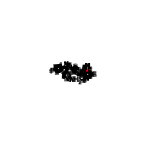 Nc1nccc(-c2c(-c3ccc(F)cc3)ncn2[C@H]2CCN(CC(O)(Cn3cncn3)c3ccc(F)cc3F)C2)n1